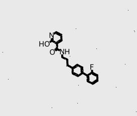 O=C(NCCCc1ccc(-c2ccccc2F)cc1)c1cccnc1O